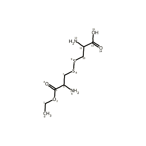 CCOC(=O)C(N)CSSCC(N)C(=O)O